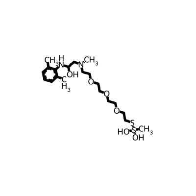 Cc1cccc(C)c1NC(O)CN(C)CCOCCOCCOCCSS(C)(O)O